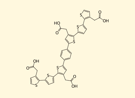 O=C(O)Cc1ccsc1-c1ccc(-c2sc(-c3ccc(-c4cc(CC(=O)O)c(-c5ccc(-c6sccc6CC(=O)O)s5)s4)cc3)cc2CC(=O)O)s1